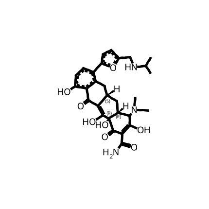 CC(C)NCc1ccc(-c2ccc(O)c3c2C[C@@H]2C[C@@H]4C(N(C)C)C(O)=C(C(N)=O)C(=O)[C@]4(O)C(O)=C2C3=O)o1